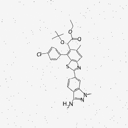 CCOC(=O)[C@@H](OC(C)(C)C)c1c(C)cc2nc(-c3ccc4c(N)nn(C)c4c3)sc2c1-c1ccc(Cl)cc1